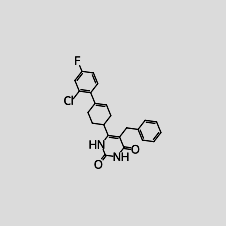 O=c1[nH]c(C2CC=C(c3ccc(F)cc3Cl)CC2)c(Cc2ccccc2)c(=O)[nH]1